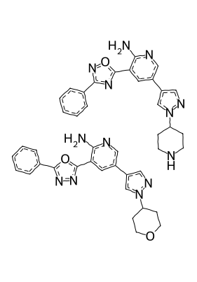 Nc1ncc(-c2cnn(C3CCNCC3)c2)cc1-c1nc(-c2ccccc2)no1.Nc1ncc(-c2cnn(C3CCOCC3)c2)cc1-c1nnc(-c2ccccc2)o1